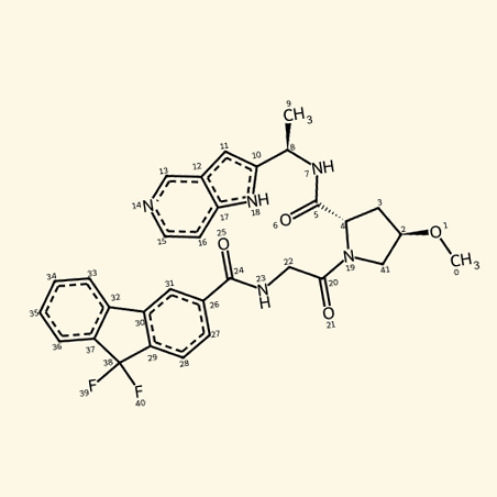 CO[C@@H]1C[C@@H](C(=O)N[C@H](C)c2cc3cnccc3[nH]2)N(C(=O)CNC(=O)c2ccc3c(c2)-c2ccccc2C3(F)F)C1